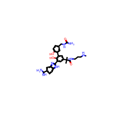 CNCCCNC(=O)C(C)(C)c1cc(-c2nc3cc(C(=N)N)ccc3[nH]2)c(O)c(-c2cc(CNC(N)=O)ccc2O)c1